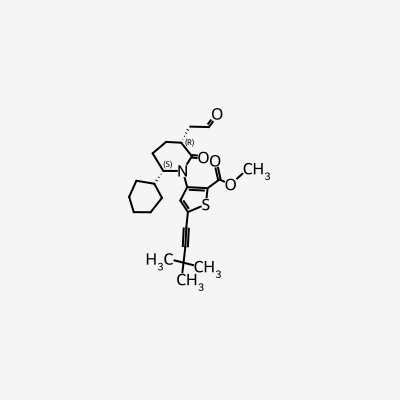 COC(=O)c1sc(C#CC(C)(C)C)cc1N1C(=O)[C@@H](CC=O)CC[C@H]1C1CCCCC1